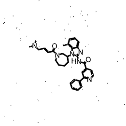 Cc1cccc2nc(NC(=O)c3ccnc(-c4ccccc4)c3)n(C3CCCCN(C(=O)/C=C/CN(C)C)C3)c12